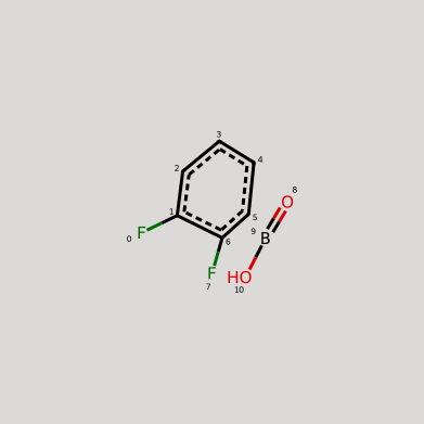 Fc1ccccc1F.O=BO